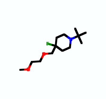 COCCOCC1(F)CCN(C(C)(C)C)CC1